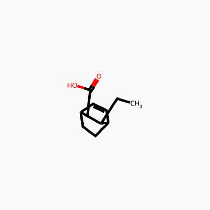 CCC1C2C=CC(CC2)C1C(=O)O